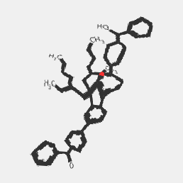 CCCCC(CC)CC1(CC(CC)CCCC)c2cc(-c3ccc(C(=O)c4ccccc4)cc3)ccc2-c2ccc(C3C=CC(C(O)C4=CCCC=C4)CC3)cc21